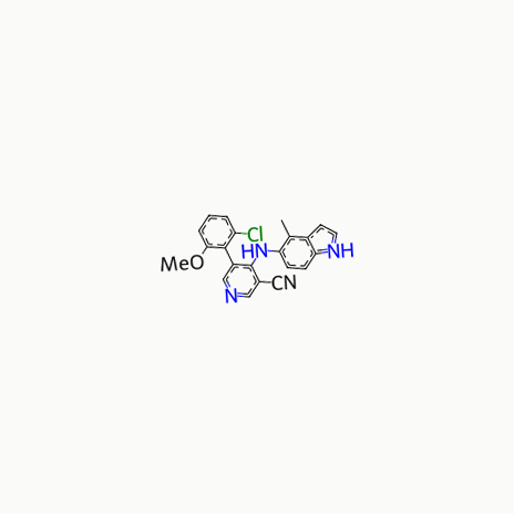 COc1cccc(Cl)c1-c1cncc(C#N)c1Nc1ccc2[nH]ccc2c1C